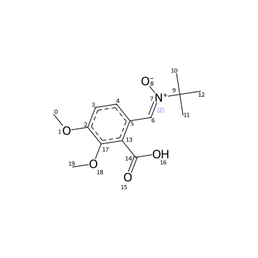 COc1ccc(/C=[N+](\[O-])C(C)(C)C)c(C(=O)O)c1OC